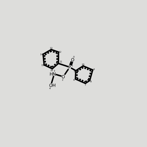 O=P(ONO)(c1ccccc1)c1ccccc1